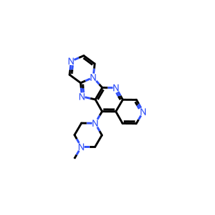 CN1CCN(c2c3ccncc3nc3c2nc2cnccn23)CC1